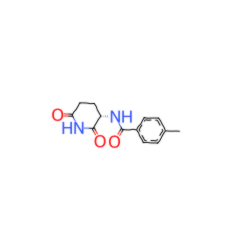 Cc1ccc(C(=O)N[C@H]2CCC(=O)NC2=O)cc1